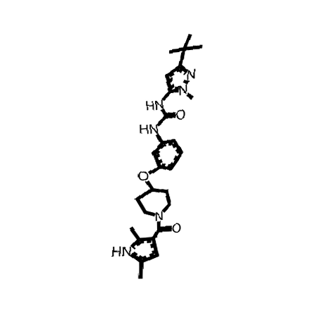 Cc1cc(C(=O)N2CCC(Oc3cccc(NC(=O)Nc4cc(C(C)(C)C)nn4C)c3)CC2)c(C)[nH]1